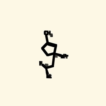 CCC[C@]1(C[C@H](F)CC)C=C(C)CC1